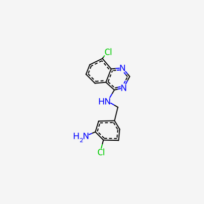 Nc1cc(CNc2ncnc3c(Cl)cccc23)ccc1Cl